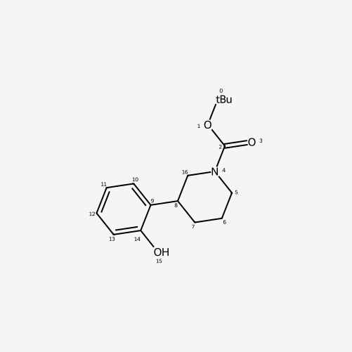 CC(C)(C)OC(=O)N1CCCC(c2ccccc2O)C1